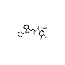 CNc1cc(Cl)c(Cl)cc1NC(=O)/C=C/c1cccnc1NC1CCCCC1